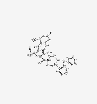 Cc1cc(I)ccc1Nc1c(C(=O)O)cc(C(=O)N2CCCN(c3ccncc3Oc3ccccc3)CC2)c(F)c1F